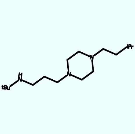 CC(C)CCN1CCN(CCCNC(C)(C)C)CC1